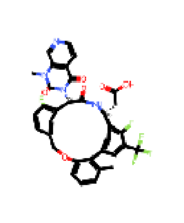 Cc1cccc2c1-c1cc(c(F)c(C(F)(F)F)c1)[C@@H](CC(=O)O)NC(=O)[C@@H](n1c(=O)c3ccncc3n(C)c1=O)c1cc(ccc1F)CO2